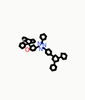 c1ccc(-c2cc(-c3ccccc3)cc(-c3ccc(-c4nc(-c5ccccc5)nc(-c5ccc6c(c5)C5(c7ccccc7O6)c6ccccc6-c6ccccc65)n4)cc3)c2)cc1